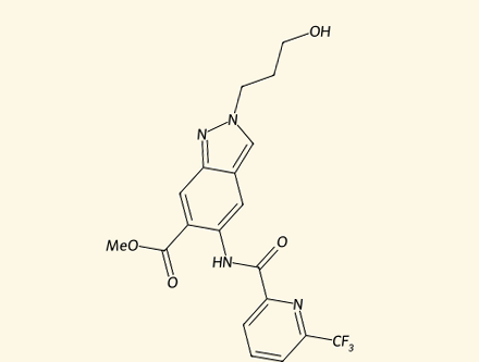 COC(=O)c1cc2nn(CCCO)cc2cc1NC(=O)c1cccc(C(F)(F)F)n1